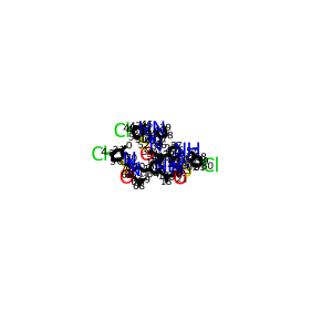 Cc1cc(Cl)cc2sc(N(CCC3CCNC(C4CC4C(=O)N(CC4CNCCC4C4CC4C(=O)N(CC4CCNC4)c4nc5c(C)cc(Cl)cc5s4)c4nc5c(C)cc(Cl)cc5s4)C3)C(=O)C3CC3)nc12